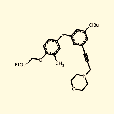 CCOC(=O)COc1ccc(Sc2cc(C#CCN3CCOCC3)cc(OCC(C)C)c2)cc1C